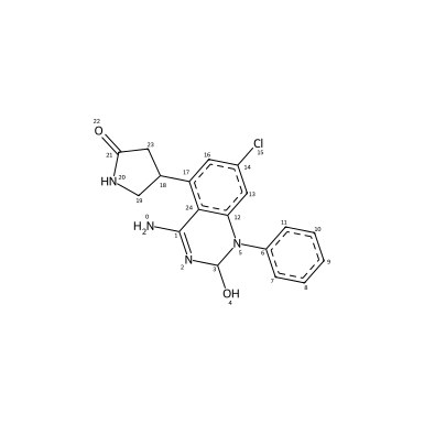 NC1=NC(O)N(c2ccccc2)c2cc(Cl)cc(C3CNC(=O)C3)c21